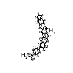 COC(CN1CCn2cccc2C1)CN1CCN(Cc2ccc(N3CCN(C(C)=O)CC3)cn2)C1=O